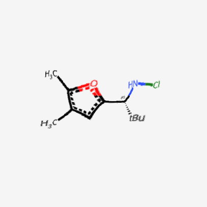 Cc1cc([C@H](NCl)C(C)(C)C)oc1C